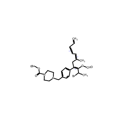 C=C/C=C\C=C(\C)C/C(=C(\OC=O)C(C)Br)c1ccc(CN2CCN(C(=O)OC(C)(C)C)CC2)cc1